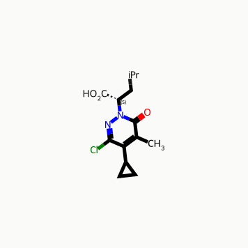 Cc1c(C2CC2)c(Cl)nn([C@@H](CC(C)C)C(=O)O)c1=O